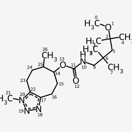 COC(C)(C)CC(C)(C)CNC(=O)OC1CCc2nnn(C)c2CCC1C